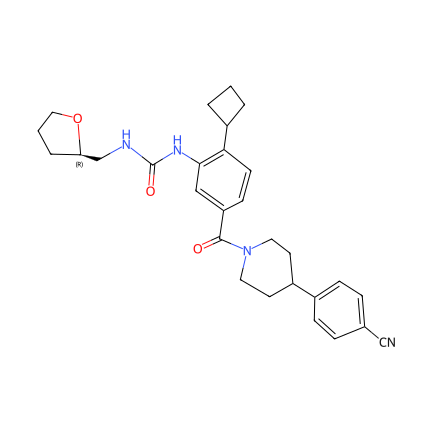 N#Cc1ccc(C2CCN(C(=O)c3ccc(C4CCC4)c(NC(=O)NC[C@H]4CCCO4)c3)CC2)cc1